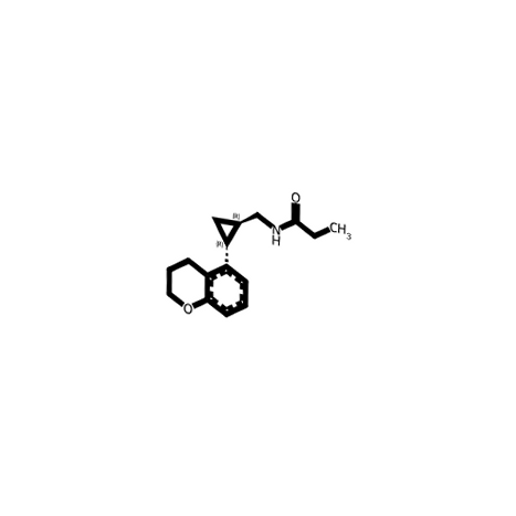 CCC(=O)NC[C@@H]1C[C@H]1c1cccc2c1CCCO2